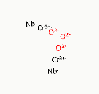 [Cr+3].[Cr+3].[Nb].[Nb].[O-2].[O-2].[O-2]